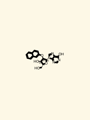 OC[C@H]1O[C@@H](n2cnc3c(O)ncnc32)[C@H](Oc2ccc3ccccc3c2)[C@@H]1O